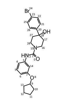 O=C(Nc1cccc(OC2CCCC2)c1)N1CCC(O)(c2ccc(Br)cc2)CC1